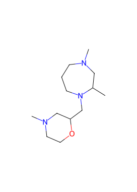 CC1CN(C)CCCN1CC1CN(C)CCO1